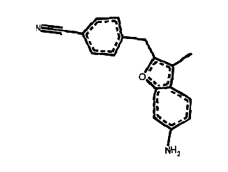 Cc1c(Cc2ccc(C#N)cc2)oc2cc(N)ccc12